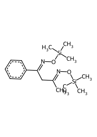 CC(CC(=NO[Si](C)(C)C)c1ccccc1)=NO[Si](C)(C)C